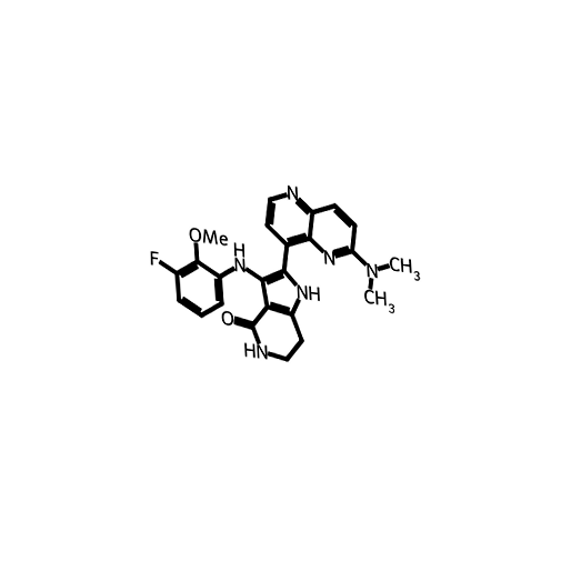 COc1c(F)cccc1Nc1c(-c2ccnc3ccc(N(C)C)nc23)[nH]c2c1C(=O)NCC2